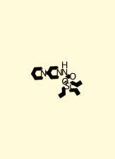 C=CC[Si](CC=C)(CC=C)OC(=O)NN1CCC(N2CCCCC2)CC1